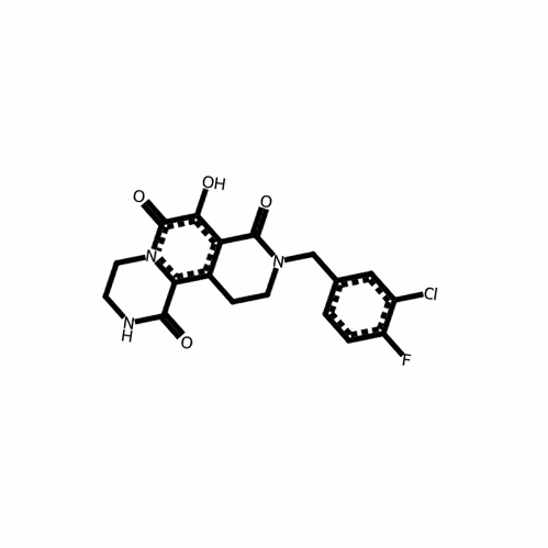 O=C1NCCn2c1c1c(c(O)c2=O)C(=O)N(Cc2ccc(F)c(Cl)c2)CC1